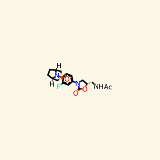 CC(=O)NC[C@H]1CN(c2ccc(N3[C@@H]4CC[C@H]3C[S+]([O-])C4)c(F)c2)C(=O)O1